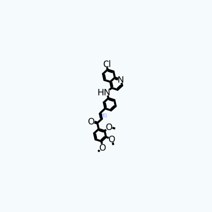 COc1ccc(C(=O)/C=C/c2cccc(Nc3ccnc4cc(Cl)ccc34)c2)c(OC)c1OC